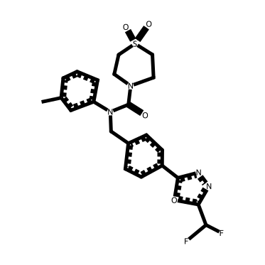 Cc1cccc(N(Cc2ccc(-c3nnc(C(F)F)o3)cc2)C(=O)N2CCS(=O)(=O)CC2)c1